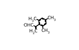 C=C([C]=O)c1c(C)cc(C)cc1C